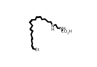 CC/C=C\CC=CCC=CC/C=C\C/C=C\CCCCNCCNC(=O)O